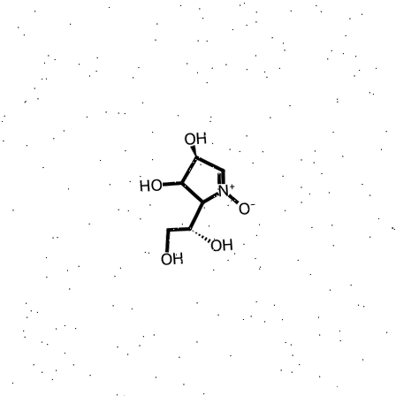 [O-][N+]1=C[C@H](O)C(O)C1[C@H](O)CO